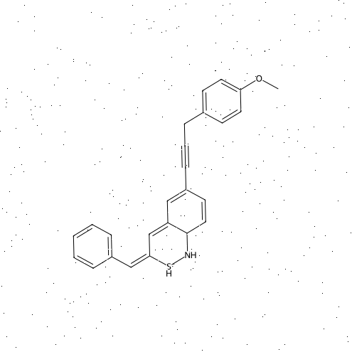 COc1ccc(CC#CC2=CC3=C/C(=C\c4ccccc4)[SH]NC3C=C2)cc1